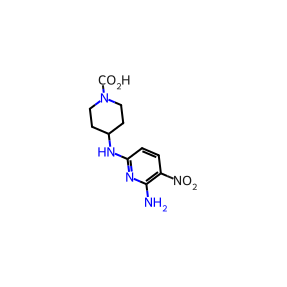 Nc1nc(NC2CCN(C(=O)O)CC2)ccc1[N+](=O)[O-]